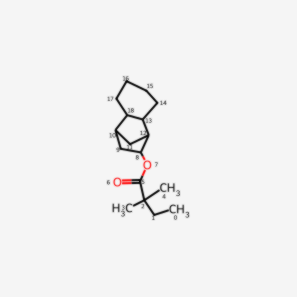 CCC(C)(C)C(=O)OC1CC2CC1C1CCCCC21